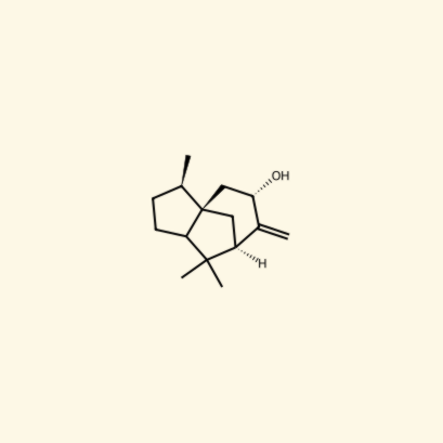 C=C1[C@@H](O)C[C@@]23C[C@@H]1C(C)(C)C2CC[C@H]3C